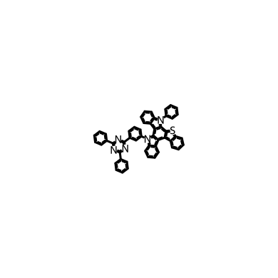 c1ccc(-c2nc(-c3ccccc3)nc(-c3cccc(-n4c5ccccc5c5c6c7ccccc7sc6c6c(c7ccccc7n6-c6ccccc6)c54)c3)n2)cc1